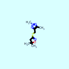 Cc1nn(C)nc1CSC1=NOC(C)(C)C1